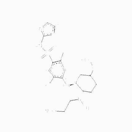 COCCN(C)[C@H]1CCC(OC=O)C[C@@H]1Nc1cc(F)c(S(=O)(=O)Nc2nccs2)cc1Cl